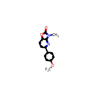 Cn1c(=O)oc2ccc(-c3ccc(OC(F)(F)F)cc3)nc21